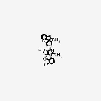 Cc1c(N2CCC3(CC2)c2ncccc2C[C@H]3N)nc(C)n(C2=C(Cl)C(Cl)CC=C2)c1=O